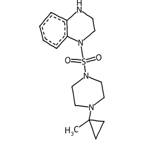 CC1(N2CCN(S(=O)(=O)N3CCNc4ccccc43)CC2)CC1